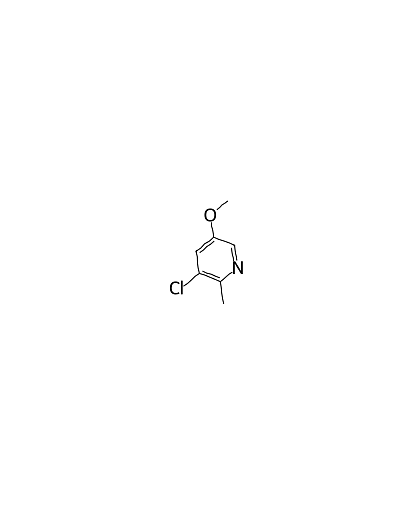 COc1cnc(C)c(Cl)c1